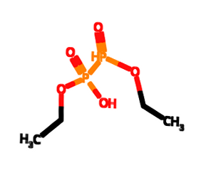 CCO[PH](=O)P(=O)(O)OCC